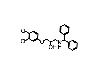 OC(CNC(c1ccccc1)c1ccccc1)COc1ccc(Cl)c(Cl)c1